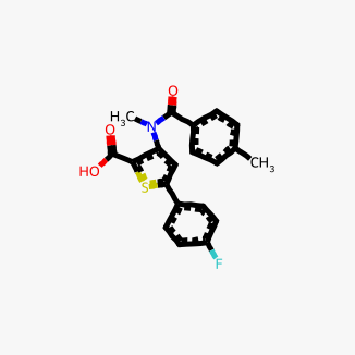 Cc1ccc(C(=O)N(C)c2cc(-c3ccc(F)cc3)sc2C(=O)O)cc1